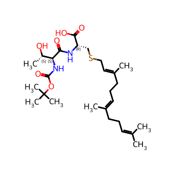 CC(C)=CCCC(C)=CCCC(C)=CCSC[C@H](NC(=O)[C@@H](NC(=O)OC(C)(C)C)[C@H](C)O)C(=O)O